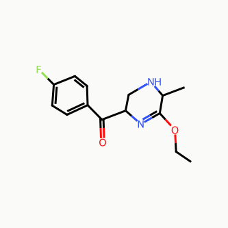 CCOC1=NC(C(=O)c2ccc(F)cc2)CNC1C